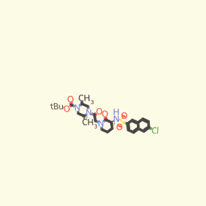 CC1CN(C(=O)CN2CCC[C@H](NS(=O)(=O)c3ccc4cc(Cl)ccc4c3)C2=O)[C@H](C)CN1C(=O)OC(C)(C)C